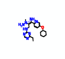 CCc1ncnc(NC/C(=C(/N)c2ccc(OC3CCCCC3)cn2)N(C)N)n1